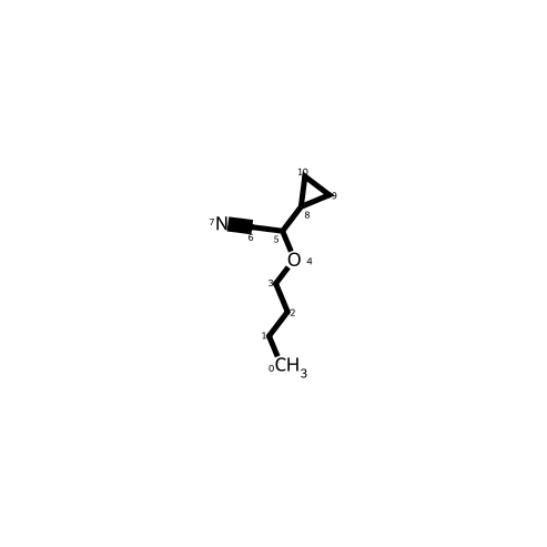 CCCCOC(C#N)C1CC1